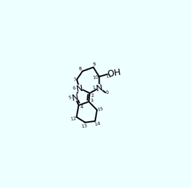 CN1c2c3c(nn2CCCC1O)CCCC3